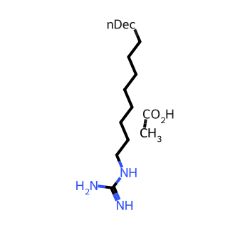 CC(=O)O.CCCCCCCCCCCCCCCCCCNC(=N)N